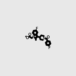 COC(=O)Cn1c(C)c(C2CCN(C(=O)c3ccc(F)cc3)CC2)c2cc(F)ccc21